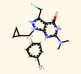 CN(C)c1nc2c(c(CF)nn2[C@H](c2ccc(C(F)(F)F)cc2)C2CC2)c(=O)[nH]1